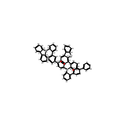 c1ccc(-c2ccc(-c3ccccc3N(c3ccc(-c4cccc(-c5ccccc5-n5c6ccccc6c6ccccc65)c4)cc3)c3ccccc3-c3cccc4c3oc3ccccc34)cc2)cc1